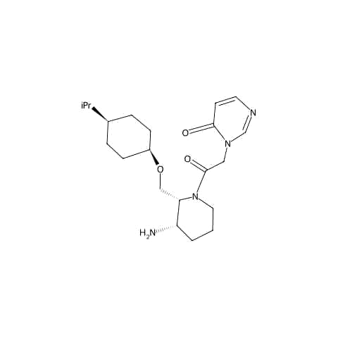 CC(C)[C@H]1CC[C@@H](OC[C@H]2[C@@H](N)CCCN2C(=O)Cn2cnccc2=O)CC1